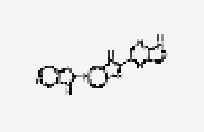 c1cc2cc(-[n+]3ccc4nc(-c5cnc6[nH]ccc6n5)[nH]c4c3)[nH]c2cn1